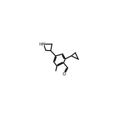 Cc1cc(C2CNC2)cc(C2CC2)c1C=O